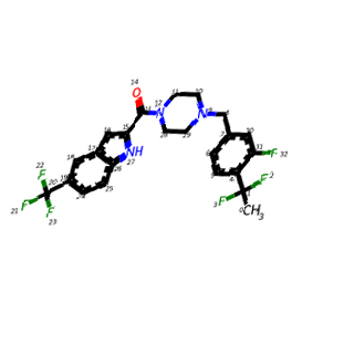 CC(F)(F)c1ccc(CN2CCN(C(=O)c3cc4cc(C(F)(F)F)ccc4[nH]3)CC2)cc1F